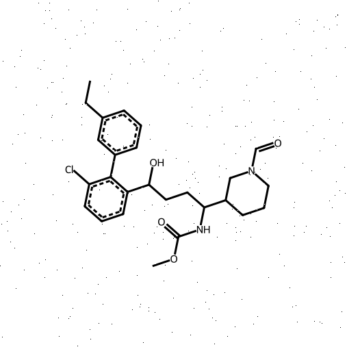 CCc1cccc(-c2c(Cl)cccc2C(O)CCC(NC(=O)OC)C2CCCN(C=O)C2)c1